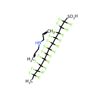 C=CCNCC=C.CC(F)(F)C(F)(F)C(F)(F)C(F)(F)C(F)(F)C(F)(F)C(F)(F)C(F)(F)C(F)(F)C(F)(F)C(F)(F)S(=O)(=O)O